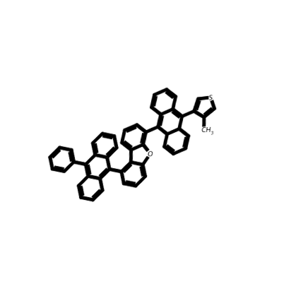 Cc1cscc1C1=c2ccccc2=C(c2cccc3c2oc2cccc(-c4c5ccccc5c(-c5ccccc5)c5ccccc45)c23)C2C=CC=CC12